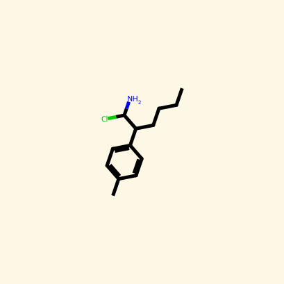 CCCCC(c1ccc(C)cc1)C(N)Cl